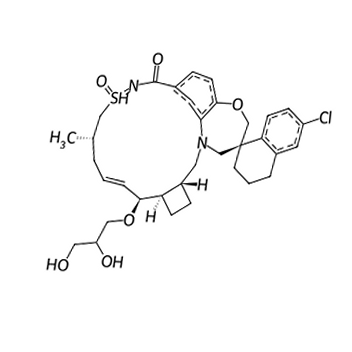 C[C@H]1C/C=C/[C@H](OCC(O)CO)[C@@H]2CC[C@H]2CN2C[C@@]3(CCCc4cc(Cl)ccc43)COc3ccc(cc32)C(=O)/N=[SH](=O)\C1